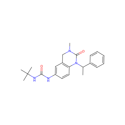 CC(c1ccccc1)N1C(=O)N(C)Cc2cc(NC(=O)NC(C)(C)C)ccc21